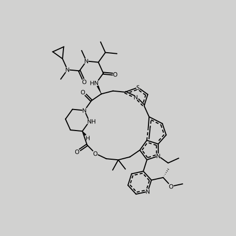 CCn1c(-c2cccnc2[C@H](C)OC)c2c3cc(ccc31)-c1csc(n1)C[C@H](NC(=O)C(C(C)C)N(C)C(=O)N(C)C1CC1)C(=O)N1CCC[C@H](N1)C(=O)OCC(C)(C)C2